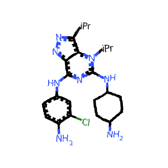 CC(C)c1nnc2c(Nc3ccc(N)c(Cl)c3)nc(NC3CCC(N)CC3)n(C(C)C)c1-2